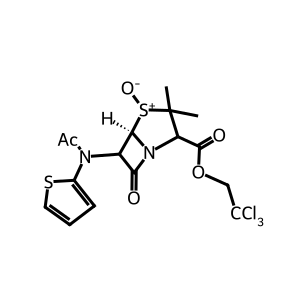 CC(=O)N(c1cccs1)C1C(=O)N2C(C(=O)OCC(Cl)(Cl)Cl)C(C)(C)[S+]([O-])[C@H]12